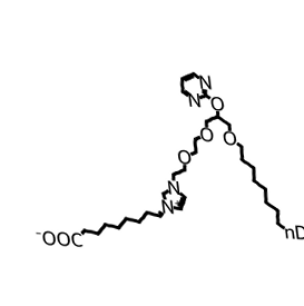 CCCCCCCCCCCCCCCCCCOCC(COCCOCCN1C=C[N+](=CCCCCCCCC(=O)[O-])C1)Oc1ncccn1